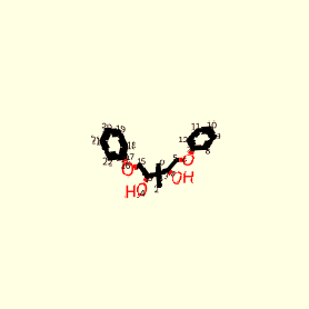 CC(C)(C(O)COc1ccccc1)C(O)COc1ccccc1